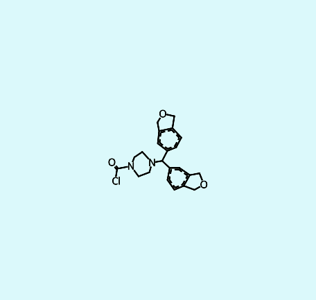 O=C(Cl)N1CCN(C(c2ccc3c(c2)COC3)c2ccc3c(c2)COC3)CC1